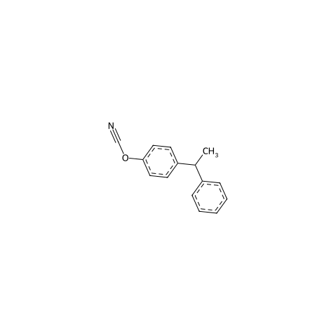 CC(c1ccccc1)c1ccc(OC#N)cc1